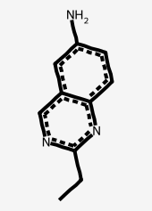 CCc1ncc2cc(N)ccc2n1